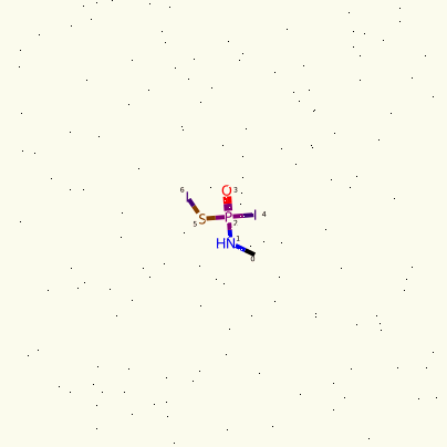 CNP(=O)(I)SI